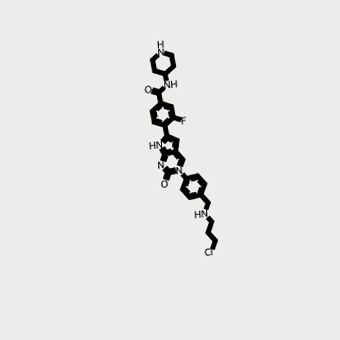 O=C(NC1CCNCC1)c1ccc(-c2cc3cn(-c4ccc(CNCCCCl)cc4)c(=O)nc3[nH]2)c(F)c1